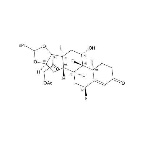 CCCC1O[C@@H]2C[C@H]3[C@@H]4C[C@H](F)C5=CC(=O)CC[C@]5(C)[C@@]4(F)[C@@H](O)C[C@]3(C)[C@]2(C(=O)COC(C)=O)O1